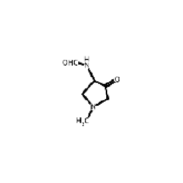 CN1CC(=O)C(NC=O)C1